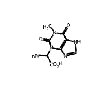 CCCC(C(=O)O)n1c(=O)n(C)c(=O)c2[nH]cnc21